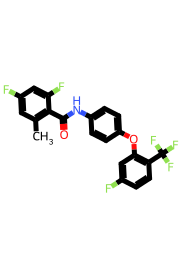 Cc1cc(F)cc(F)c1C(=O)Nc1ccc(Oc2cc(F)ccc2C(F)(F)F)cc1